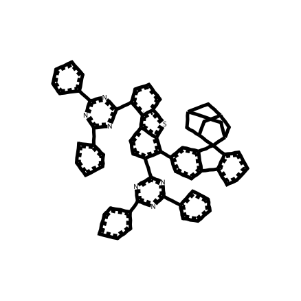 c1ccc(-c2nc(-c3ccccc3)nc(-c3ccc4c(sc5cccc(-c6nc(-c7ccccc7)nc(-c7ccccc7)n6)c54)c3-c3ccc4c(c3)C3(c5ccccc5-4)C4CC5CC(C4)CC3C5)n2)cc1